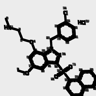 CNCCOc1cc(OC)cc2c(S(=O)(=O)c3cccc4ccccc34)nn(Cc3cccc(Cl)c3)c12.Cl